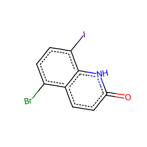 O=c1ccc2c(Br)ccc(I)c2[nH]1